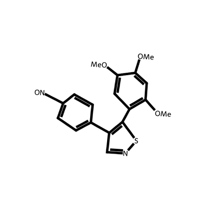 COc1cc(OC)c(-c2sncc2-c2ccc(N=O)cc2)cc1OC